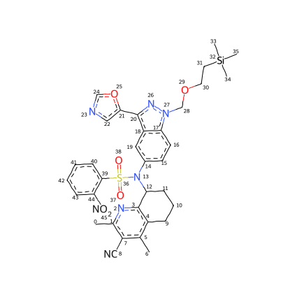 Cc1nc2c(c(C)c1C#N)CCCC2N(c1ccc2c(c1)c(-c1cnco1)nn2COCC[Si](C)(C)C)S(=O)(=O)c1ccccc1[N+](=O)[O-]